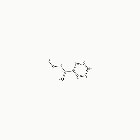 CSCC(=O)c1ccncc1